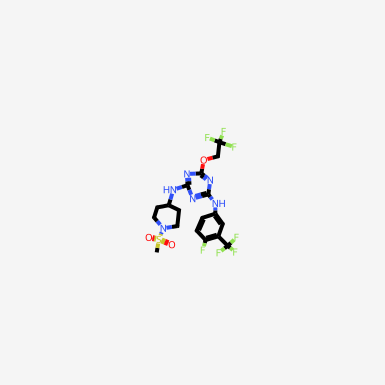 CS(=O)(=O)N1CCC(Nc2nc(Nc3ccc(F)c(C(F)(F)F)c3)nc(OCC(F)(F)F)n2)CC1